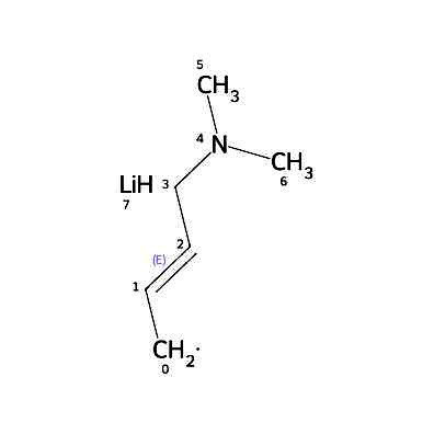 [CH2]/C=C/CN(C)C.[LiH]